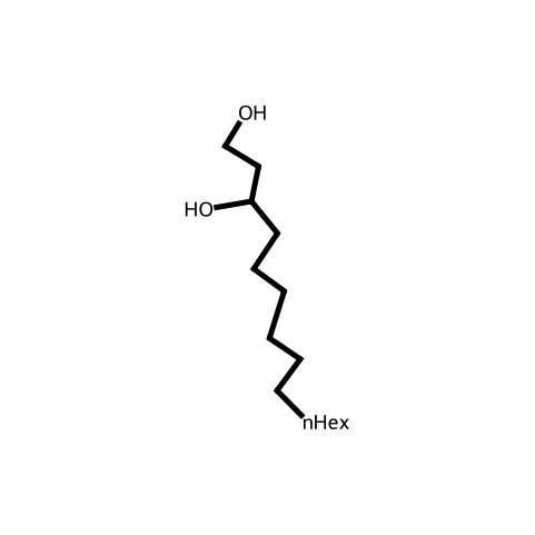 CCCCCCCCCCCCC(O)CCO